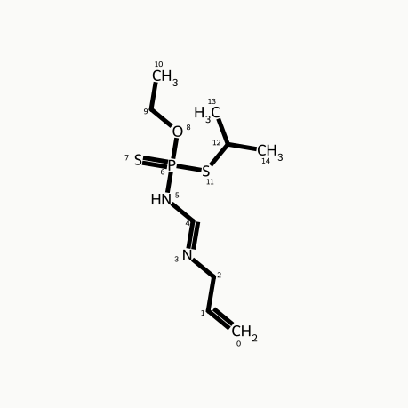 C=CCN=CNP(=S)(OCC)SC(C)C